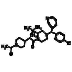 CC(=O)N1CCC(CC(=O)N2CCN(C(c3ccc(Cl)cc3)c3cccnc3)C[C@@H]2C(C)(C)C)CC1